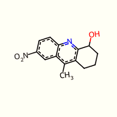 Cc1c2c(nc3ccc([N+](=O)[O-])cc13)C(O)CCC2